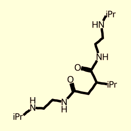 CC(C)NCCNC(=O)CC(C(=O)NCCNC(C)C)C(C)C